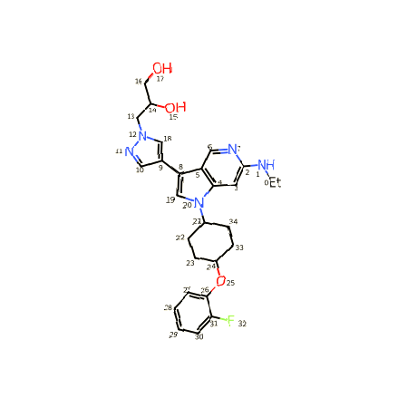 CCNc1cc2c(cn1)c(-c1cnn(CC(O)CO)c1)cn2C1CCC(Oc2ccccc2F)CC1